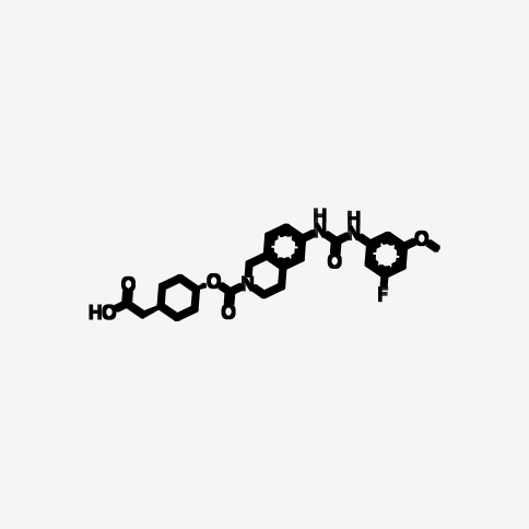 COc1cc(F)cc(NC(=O)Nc2ccc3c(c2)CCN(C(=O)O[C@H]2CC[C@H](CC(=O)O)CC2)C3)c1